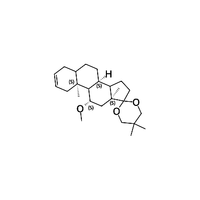 CO[C@H]1C[C@@]2(C)C(CCC23OCC(C)(C)CO3)[C@@H]2CCC3CC=CC[C@]3(C)C21